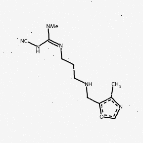 CN/C(=N/CCCNCc1ocnc1C)NC#N